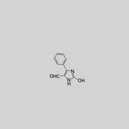 O=Cc1[nH]c(O)nc1-c1ccccc1